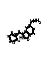 NCc1ccc2c(c1)C(Cc1ccccc1)NC2